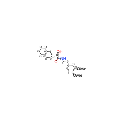 COc1ccc(CCNC(=O)C(O)c2ccc3c(c2)CCCC3)cc1OC